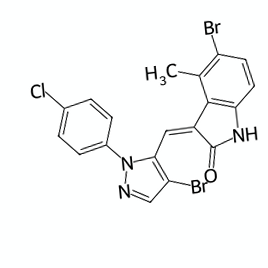 Cc1c(Br)ccc2c1C(=Cc1c(Br)cnn1-c1ccc(Cl)cc1)C(=O)N2